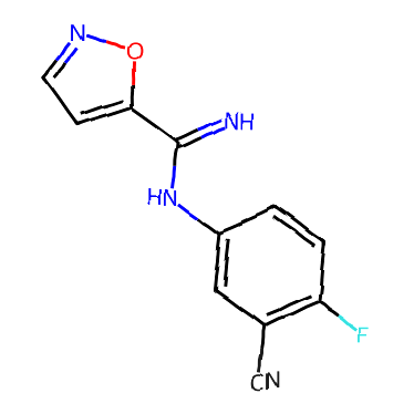 N#Cc1cc(NC(=N)c2ccno2)ccc1F